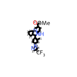 COC(=O)c1ccc(NC(c2ccc(-n3cc(C(F)(F)F)cn3)cc2C)C2CCCCC2)nc1